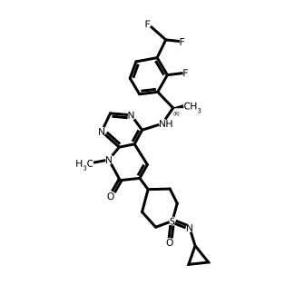 C[C@@H](Nc1ncnc2c1cc(C1CCS(=O)(=NC3CC3)CC1)c(=O)n2C)c1cccc(C(F)F)c1F